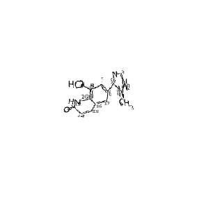 Cn1ncnc1-c1cc(O)c2[nH]c(=O)ccc2c1